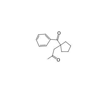 CC(=O)CC1(C(=O)c2ccccc2)CCCC1